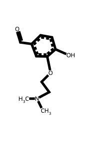 CN(C)CCOc1cc(C=O)ccc1O